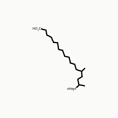 CCCCCCCC(C)CCC(C)CCCCCCCCCCCCC(=O)O